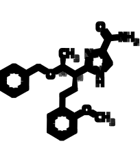 COc1ccccc1CC[C@H](c1nc(C(N)=O)c[nH]1)[C@H](C)OCc1ccccc1